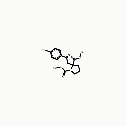 CC(C)(C)OC(=O)N1CCCC1(CC(=O)c1ccc([N+](=O)[O-])cc1)C(=O)OC(C)(C)C